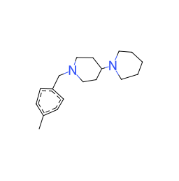 Cc1ccc(CN2CCC(N3CCCCC3)CC2)cc1